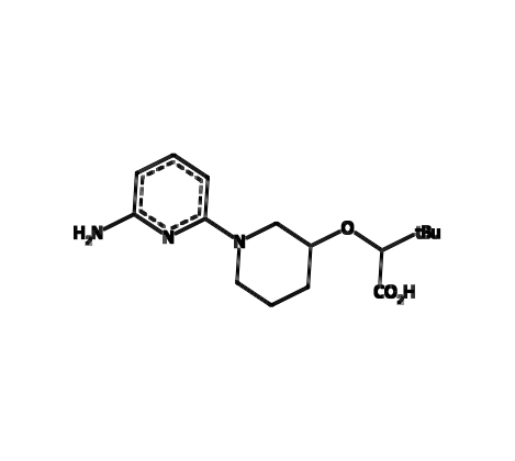 CC(C)(C)C(OC1CCCN(c2cccc(N)n2)C1)C(=O)O